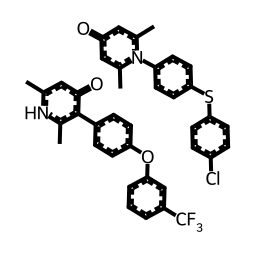 Cc1cc(=O)c(-c2ccc(Oc3cccc(C(F)(F)F)c3)cc2)c(C)[nH]1.Cc1cc(=O)cc(C)n1-c1ccc(Sc2ccc(Cl)cc2)cc1